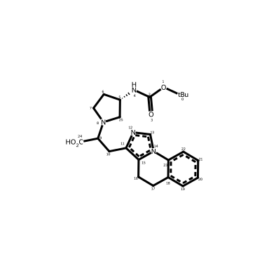 CC(C)(C)OC(=O)N[C@H]1CCN(C(Cc2ncn3c2CCc2ccccc2-3)C(=O)O)C1